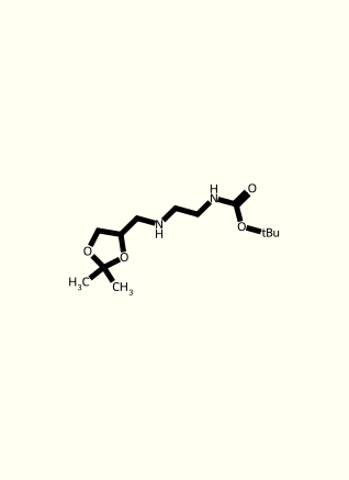 CC(C)(C)OC(=O)NCCNCC1COC(C)(C)O1